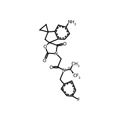 C[C@H](N(Cc1ccc(F)cc1)C(=O)CN1C(=O)OC2(CC3(CC3)c3cc(N)ccc32)C1=O)C(F)(F)F